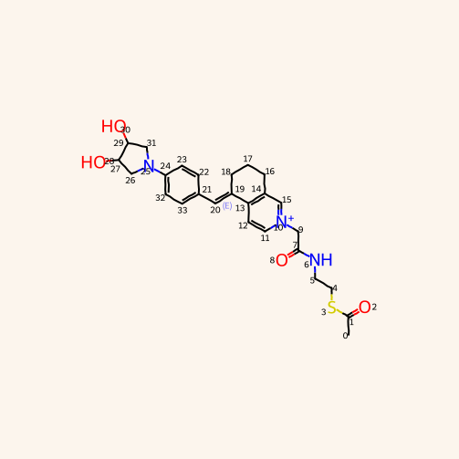 CC(=O)SCCNC(=O)C[n+]1ccc2c(c1)CCC/C2=C\c1ccc(N2CC(O)C(O)C2)cc1